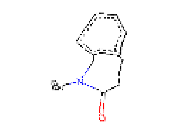 CCC(C)N1C(=O)Cc2ccccc21